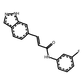 O=C(/C=C/c1ccc2cn[nH]c2c1)Nc1cccc(F)c1